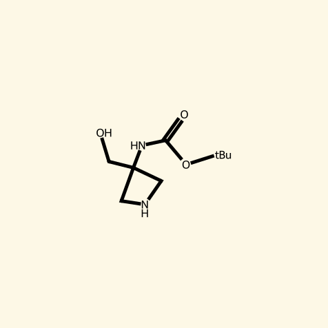 CC(C)(C)OC(=O)NC1(CO)CNC1